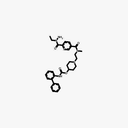 CCN(N)C(=O)c1ccc(C(=O)N(C)CCN2CCC(OC(=O)Nc3ccccc3-c3ccccc3)CC2)cn1